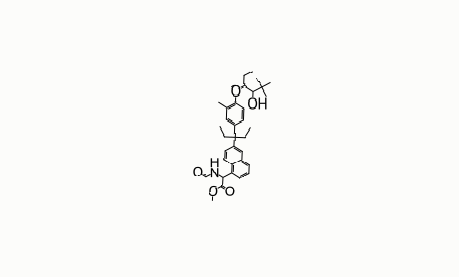 CCC(Oc1ccc(C(CC)(CC)c2ccc3c(C(NC=O)C(=O)OC)cccc3c2)cc1C)C(O)C(C)(C)C